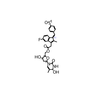 CC1=CN([C@H]2C[C@H](O)[C@@H](COC(=O)CC3=C(C)/C(=C/c4ccc([S+](C)[O-])cc4)c4ccc(F)cc43)O2)C(=O)NC1O